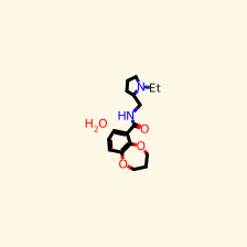 CCN1CCCC1CNC(=O)c1cccc2c1OCCCO2.O